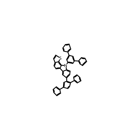 c1ccc(-c2cc(-c3ccccc3)cc(-n3c4ccc(-c5cc(-c6ccccc6)ccc5-c5ccccc5)cc4c4ccc5ccsc5c43)c2)cc1